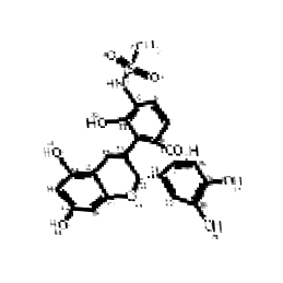 CS(=O)(=O)Nc1ccc(C(=O)O)c(C2Cc3c(O)cc(O)cc3O[C@H]2c2ccc(O)c(O)c2)c1O